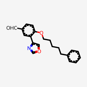 O=Cc1ccc(OCCCCCc2ccccc2)c(-c2cocn2)c1